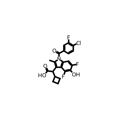 Cc1c(C(C(=O)O)C2CCC2)c2c(F)c(O)c(F)cc2n1C(=O)c1ccc(Cl)c(F)c1